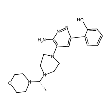 C[C@H](N1CCOCC1)N1CCN(c2cc(-c3ccccc3O)nnc2N)CC1